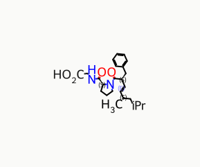 CC(C)C[C@H](C)/C=C/[C@H](Cc1ccccc1)C(=O)N1CCC[C@H]1C(=O)NCC(=O)O